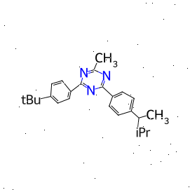 Cc1nc(-c2ccc(C(C)C(C)C)cc2)nc(-c2ccc(C(C)(C)C)cc2)n1